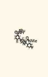 CNC(=O)c1c(-c2ccc(F)cc2)nc2sc(-c3cc(C(=O)NC(C)(C)C)ccc3C)cn12